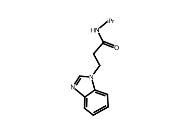 CC(C)NC(=O)CCn1cnc2ccccc21